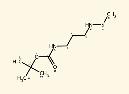 CSNCCCNC(=O)OC(C)(C)C